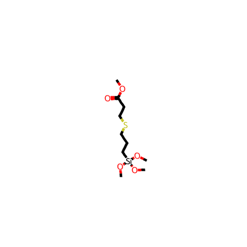 COC(=O)CCSCCC[Si](OC)(OC)OC